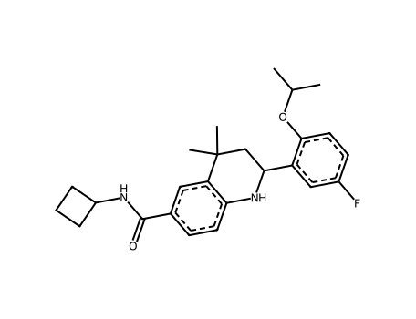 CC(C)Oc1ccc(F)cc1C1CC(C)(C)c2cc(C(=O)NC3CCC3)ccc2N1